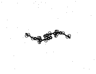 C=CC(=O)OCCCCOc1ccc(C(=O)Oc2c(OC)cc(/C=C/C(=O)Oc3ccc4ccccc4c3-c3c(OC(=O)/C=C/c4cc(OC)c(OC(=O)c5ccc(OCCCCOC(=O)C=C)cc5)c(OC)c4)ccc4ccccc34)cc2OC)cc1